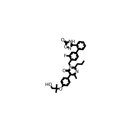 CCCc1nc(C)c(-c2ccc(OC(C)(C)CO)cc2)c(=O)n1Cc1ccc(-c2ccccc2-c2noc(=O)[nH]2)cc1F